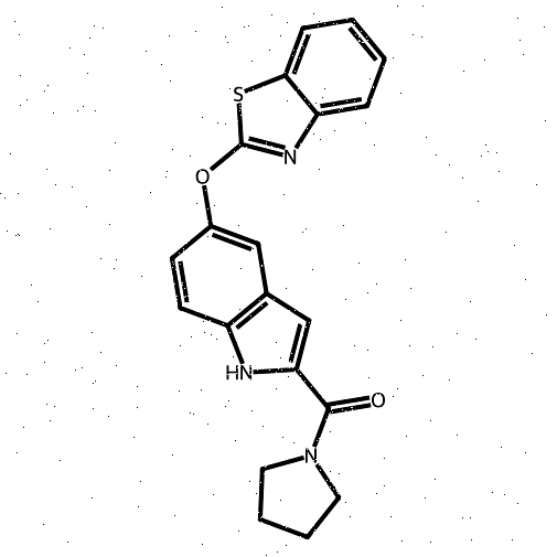 O=C(c1cc2cc(Oc3nc4ccccc4s3)ccc2[nH]1)N1CCCC1